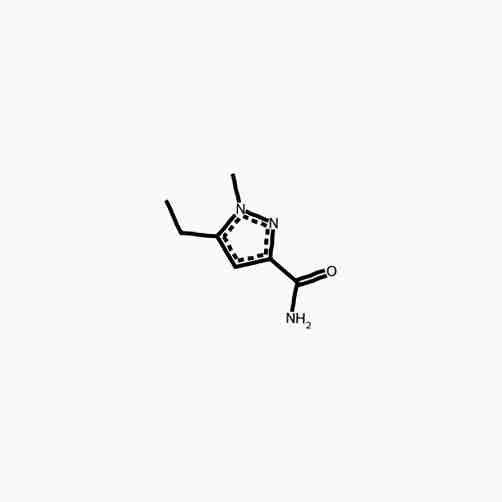 CCc1cc(C(N)=O)nn1C